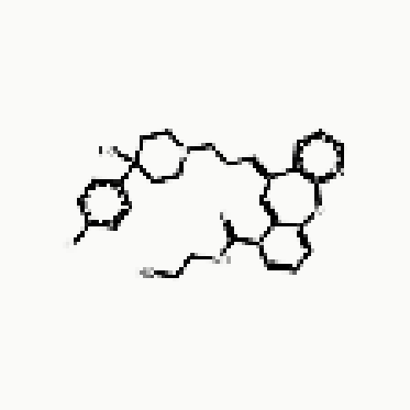 O=C(NCCO)C1C=CC=C2Oc3ncccc3C(=CCCN3CCC(O)(c4ccc(Cl)cc4)CC3)C=C21